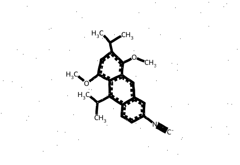 [C-]#[N+]c1ccc2c(C(C)C)c3c(OC)cc(C(C)C)c(OC)c3cc2c1